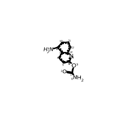 NC(=O)Oc1ccc2c(N)cccc2n1